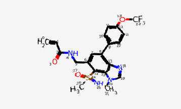 C=CC(=O)NCc1cc(-c2ccc(OC(F)(F)F)cc2)c2ncn(C)c2c1[S@@](C)(=N)=O